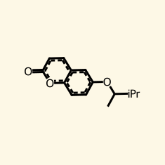 CC(C)C(C)Oc1ccc2oc(=O)ccc2c1